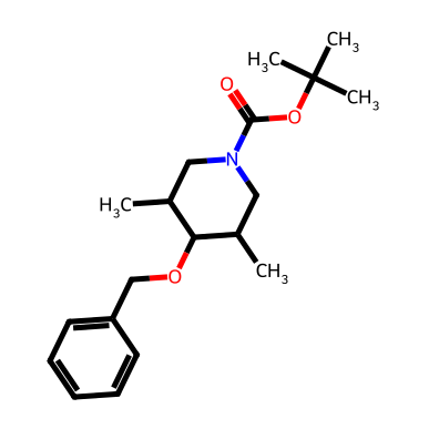 CC1CN(C(=O)OC(C)(C)C)CC(C)C1OCc1ccccc1